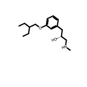 CCC(CC)COc1cccc(C[C@@H](O)CNC)c1